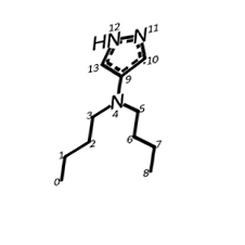 CCCCN(CCCC)c1[c]n[nH]c1